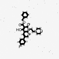 O=C(OCc1ccccc1)c1c(O)c2cc(-c3ccc(F)cc3)cnc2n(CCN2CCOCC2)c1=O